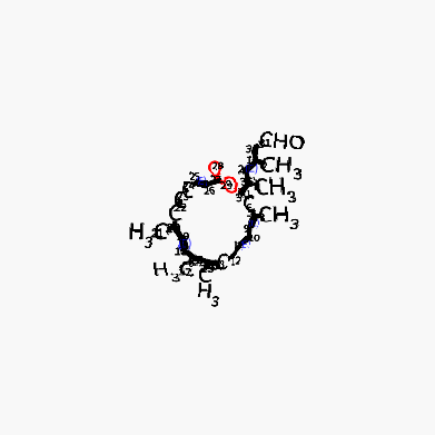 C/C(=C\[C@H](C)[C@H]1C/C(C)=C/C=C/CC[C@@H](C)[C@H](C)/C=C/[C@H](C)CCC/C=C/C(=O)O1)CC=O